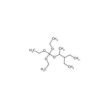 CCO[Si](OCC)(OCC)OC(C)[C](CC)CC